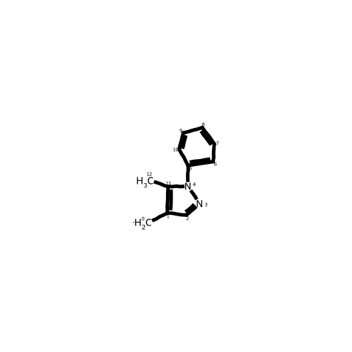 [CH2]c1cnn(-c2ccccc2)c1C